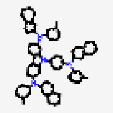 Cc1cccc(N(c2ccc(-n3c4cc(N(c5cccc(C)c5)c5ccc6ccccc6c5)ccc4c4ccc(N(c5cccc(C)c5)c5ccc6ccccc6c5)cc43)cc2)c2ccc3ccccc3c2)c1